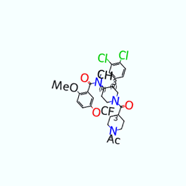 COc1ccc(OC(F)(F)F)cc1C(=O)N(C)[C@@H]1CCN(C(=O)C2CCN(C(C)=O)CC2)C[C@H]1c1ccc(Cl)c(Cl)c1